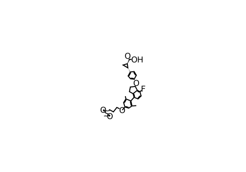 Cc1cc(OCCCS(C)(=O)=O)cc(C)c1-c1ccc(F)c2c1CC[C@H]2Oc1ccc([C@@H]2C[C@H]2C(=O)O)cc1